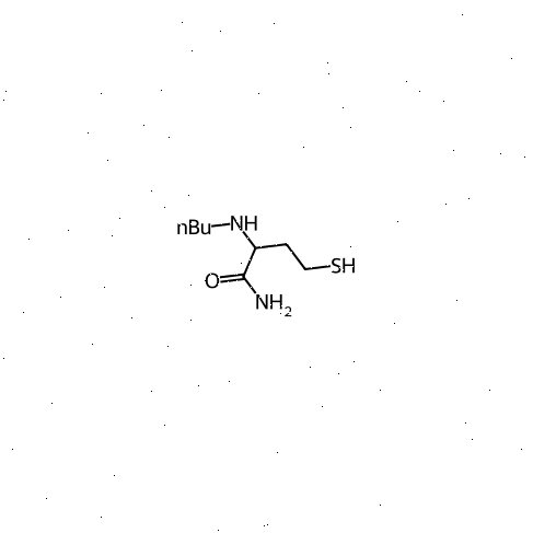 CCCCNC(CCS)C(N)=O